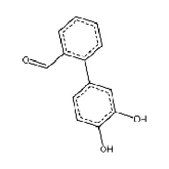 O=Cc1ccccc1-c1ccc(O)c(O)c1